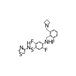 Fc1cc(SNc2cscn2)c(F)cc1NCc1c(F)cccc1CN1CCC1